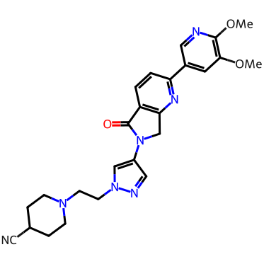 COc1cc(-c2ccc3c(n2)CN(c2cnn(CCN4CCC(C#N)CC4)c2)C3=O)cnc1OC